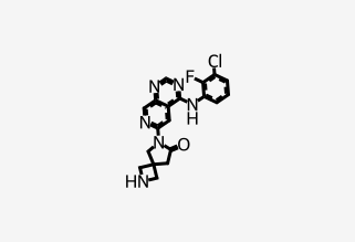 O=C1CC2(CNC2)CN1c1cc2c(Nc3cccc(Cl)c3F)ncnc2cn1